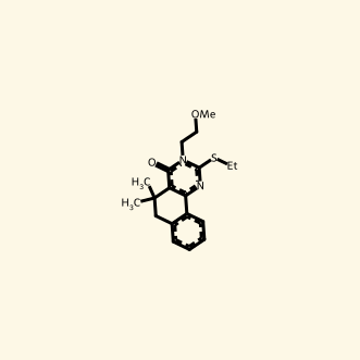 CCSc1nc2c(c(=O)n1CCOC)C(C)(C)Cc1ccccc1-2